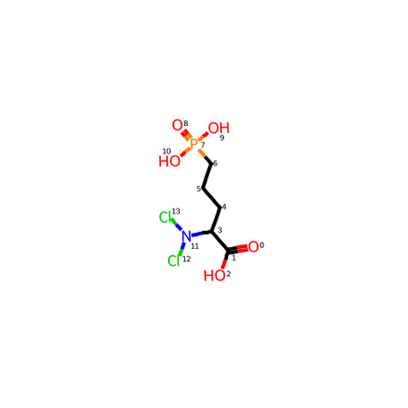 O=C(O)C(CCCP(=O)(O)O)N(Cl)Cl